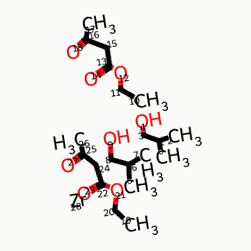 CC(C)CO.CC(C)CO.CCOC(=O)CC(C)=O.CCOC(=O)CC(C)=O.[Zr]